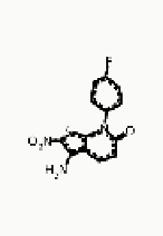 Nc1c([N+](=O)[O-])sc2c1ccc(=O)n2-c1ccc(F)cc1